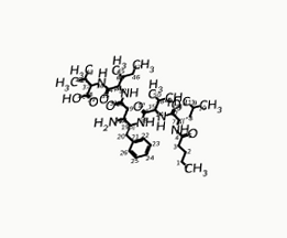 CCCCC(=O)N[C@@H](CC(C)C)C(=O)NC(C(=O)N[C@@H](Cc1ccccc1)[C@@H](N)CC(=O)N[C@H](C(=O)NC(C(=O)O)C(C)C)[C@@H](C)CC)C(C)C